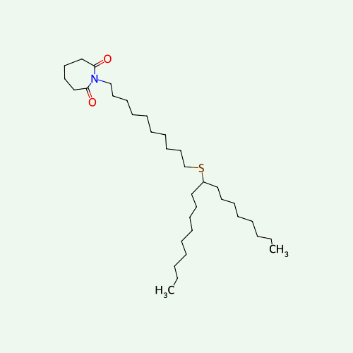 CCCCCCCCCC(CCCCCCCC)SCCCCCCCCCCN1C(=O)CCCCC1=O